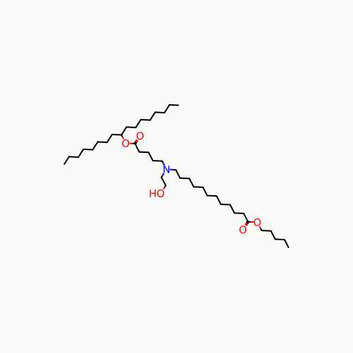 CCCCCCCCC(CCCCCCCC)OC(=O)CCCCN(CCO)CCCCCCCCCCCC(=O)OCCCCC